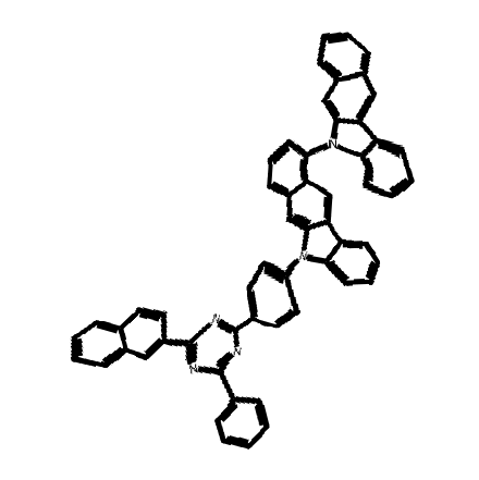 c1ccc(-c2nc(-c3ccc(-n4c5ccccc5c5cc6c(-n7c8ccccc8c8cc9ccccc9cc87)cccc6cc54)cc3)nc(-c3ccc4ccccc4c3)n2)cc1